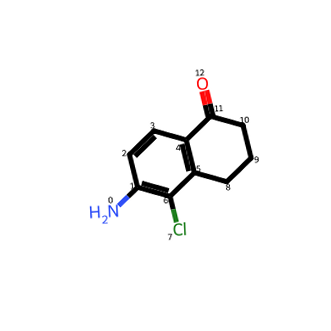 Nc1ccc2c(c1Cl)CCCC2=O